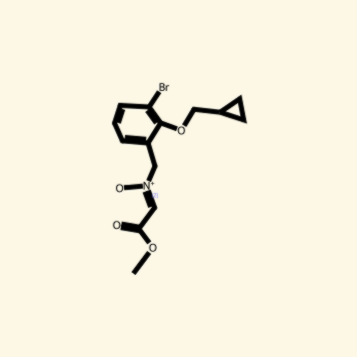 COC(=O)/C=[N+](\[O-])Cc1cccc(Br)c1OCC1CC1